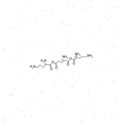 NCCC[C@H](N)C(=O)OC(=O)CC[C@H](N)C(=O)OC(=O)[C@@H](N)CCCN